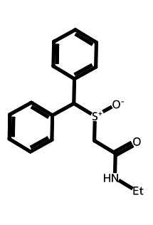 CCNC(=O)C[S+]([O-])C(c1ccccc1)c1ccccc1